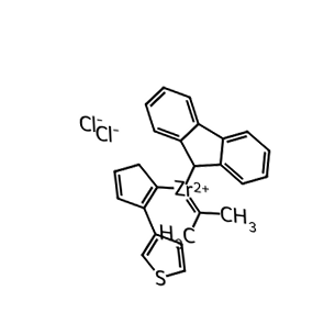 C[C](C)=[Zr+2]([C]1=C(c2ccsc2)C=CC1)[CH]1c2ccccc2-c2ccccc21.[Cl-].[Cl-]